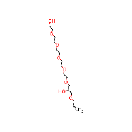 C=CCOCC(O)COCCOCCOCCOCCOCCO